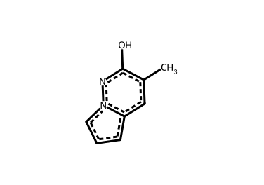 Cc1cc2cccn2nc1O